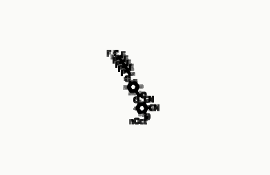 CCCCCCCCOc1ccc(OC(=O)c2ccc(OCC(F)(F)C(F)(F)C(F)(F)C(F)(F)C(F)(F)F)cc2)c(C#N)c1C#N